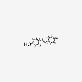 Oc1ccc(C=Cc2cc[c]cc2)cc1